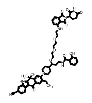 CCc1cc2c(cc1N1CCC(C(CCNC(=O)c3ccccc3O)OCCOCCOCCNc3cccc4c3C(=O)N(C3CCC(=O)NC3=O)C4=O)CC1)C(C)(C)c1[nH]c3cc(C#N)ccc3c1C2=O